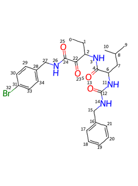 CCC(NC(=O)C(CC(C)C)NC(=O)NCc1ccccc1)C(=O)C(=O)NCc1ccc(Br)cc1